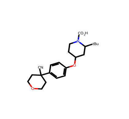 CC(C)(C)C1CC(Oc2ccc(C3(C#N)CCOCC3)cc2)CCN1C(=O)O